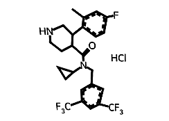 Cc1cc(F)ccc1C1CNCCC1C(=O)N(Cc1cc(C(F)(F)F)cc(C(F)(F)F)c1)C1CC1.Cl